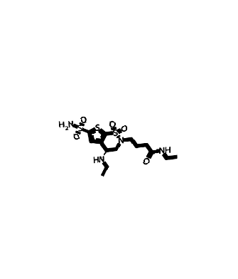 CCNC(=O)CCCN1C[C@H](NCC)c2cc(S(N)(=O)=O)sc2S1(=O)=O